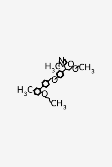 CCCCOc1ccc(C)cc1-c1ccc(COc2ccc(C(CC(=O)OCC)c3ccnn3C)cc2)cc1